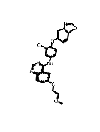 COCCOc1ccc2ncnc(Nc3ccc(OC4=CC5N=COC5C=C4)c(Cl)c3)c2c1